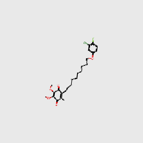 COC1=C(OC)C(=O)C(CCCCCCCCCCOc2ccc(F)c(Cl)c2)=C(C)C1=O